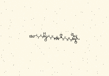 CC(C)(C)CCCCNC(=O)CCCCCNC(=O)CCCCCN1C(=O)C=CC1=O